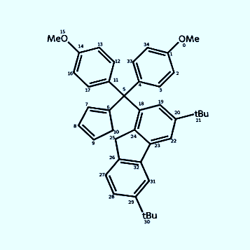 COc1ccc(C(C2=CC=CC2)(c2ccc(OC)cc2)c2cc(C(C)(C)C)cc3c2Cc2ccc(C(C)(C)C)cc2-3)cc1